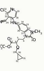 COC(=O)C(CCn1c(=O)n(C)c2ccc(Nc3ccnc(Cl)c3C#N)cc21)OCC1CC1